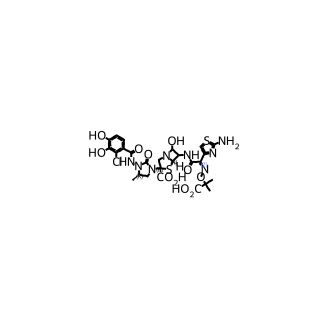 C[C@@H]1CN([C@]2(C(=O)O)CN3C(O)C(NC(=O)/C(=N\OC(C)(C)C(=O)O)c4csc(N)n4)[C@H]3S2)C(=O)N1NC(=O)c1ccc(O)c(O)c1Cl